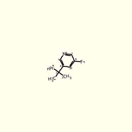 CCCC(C)(C)c1cncc(F)c1